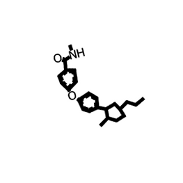 CCCC1CCC(C)C(c2ccc(Oc3ccc(C(=O)NC)cc3)cc2)C1